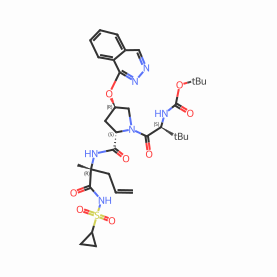 C=CC[C@@](C)(NC(=O)[C@@H]1C[C@@H](Oc2nncc3ccccc23)CN1C(=O)[C@@H](NC(=O)OC(C)(C)C)C(C)(C)C)C(=O)NS(=O)(=O)C1CC1